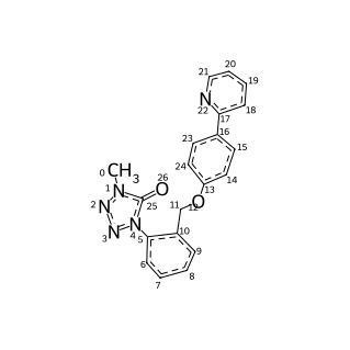 Cn1nnn(-c2ccccc2COc2ccc(-c3ccccn3)cc2)c1=O